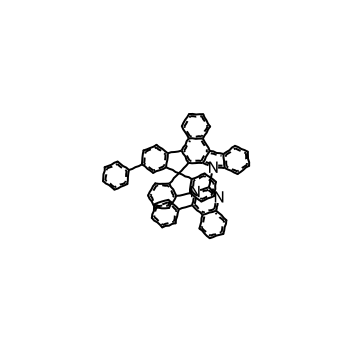 c1ccc(-c2ccc3c(c2)C2(c4ccccc4-c4ccccc42)c2c-3c3ccccc3c3c4ccccc4n(-c4nc(-c5ccccc5)c5ccccc5n4)c23)cc1